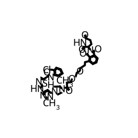 Cc1nc(Nc2ncc(C(=O)Nc3c(C)cccc3Cl)s2)cc(N2CCN(C(=O)CCOCCOCCCc3cccc4c3C(=O)N(C3CCC(=O)NC3=O)C4=O)CC2)n1